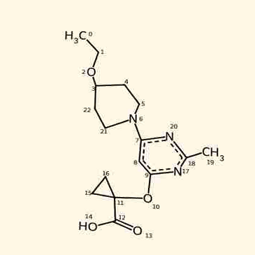 CCOC1CCN(c2cc(OC3(C(=O)O)CC3)nc(C)n2)CC1